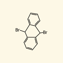 BrC1c2ccccc2C(Br)c2ccccc21